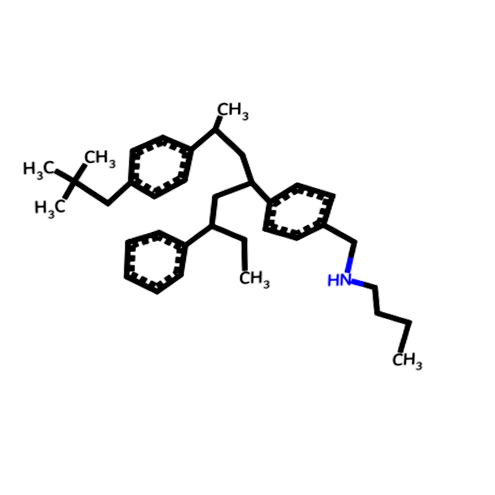 CCCCNCc1ccc(C(CC(C)c2ccc(CC(C)(C)C)cc2)CC(CC)c2ccccc2)cc1